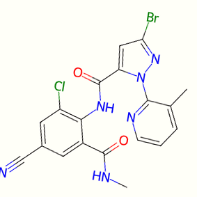 CNC(=O)c1cc(C#N)cc(Cl)c1NC(=O)c1cc(Br)nn1-c1ncccc1C